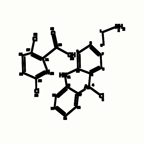 CCN.Cl[As]1c2ccccc2Nc2ccccc21.O=C(O)c1nc(Cl)ccc1Cl